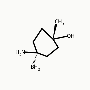 B[C@]1(N)CC[C@](C)(O)CC1